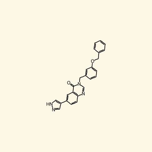 O=c1c2cc(-c3cn[nH]c3)ccc2ncn1Cc1cccc(OCc2ccccc2)c1